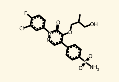 CC(CO)COc1c(-c2ccc(S(N)(=O)=O)cc2)cnn(-c2ccc(F)c(Cl)c2)c1=O